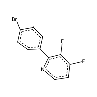 Fc1ccnc(-c2c[c]c(Br)cc2)c1F